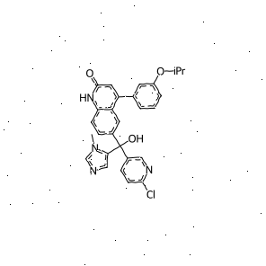 CC(C)Oc1cccc(-c2cc(=O)[nH]c3ccc(C(O)(c4ccc(Cl)nc4)c4cncn4C)cc23)c1